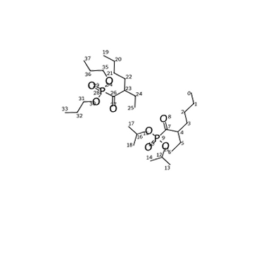 CCCCC(CC)C(=O)P(=O)(OC(C)C)OC(C)C.CCCCC(CC)C(=O)P(=O)(OCCC)OCCC